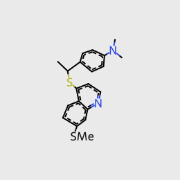 CSc1ccc2c(SC(C)c3ccc(N(C)C)cc3)ccnc2c1